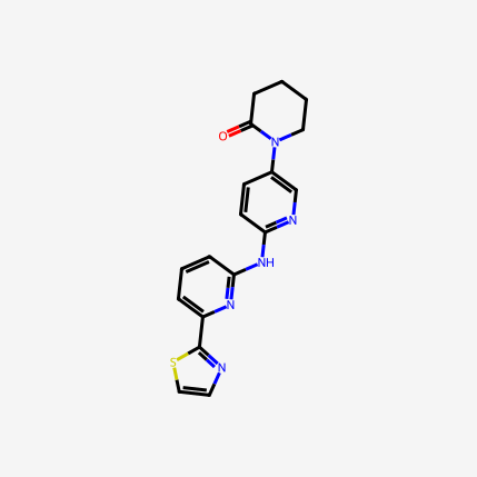 O=C1CCCCN1c1ccc(Nc2cccc(-c3nccs3)n2)nc1